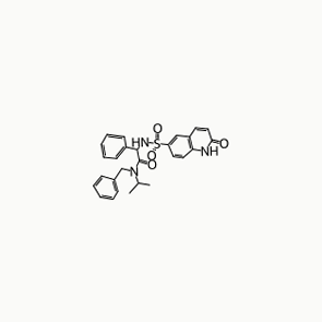 CC(C)N(Cc1ccccc1)C(=O)C(NS(=O)(=O)c1ccc2[nH]c(=O)ccc2c1)c1ccccc1